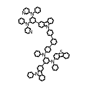 c1ccc(N(c2ccc(-c3cccc(-c4ccc(-n5c6ccccc6c6cc(-c7cc(N(c8ccccc8)c8cccnc8)cc(N(c8ccccc8)c8cccnc8)c7)ccc65)cc4)c3)cc2)c2cc(-c3ccc4c(c3)c3ccccc3n4-c3ccccc3)cc(N(c3ccccc3)c3ccc4sc5ccccc5c4c3)c2)cc1